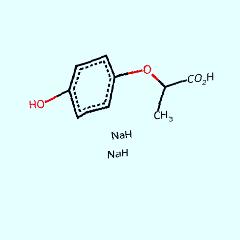 CC(Oc1ccc(O)cc1)C(=O)O.[NaH].[NaH]